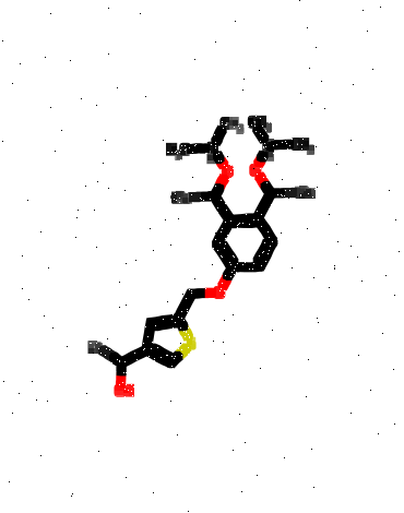 CCC(O)c1csc(COc2ccc(C(O[SiH](C)C)C(C)(C)C)c(C(O[SiH](C)C)C(C)(C)C)c2)c1